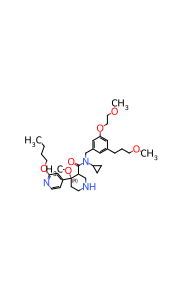 CCCCOc1cc([C@@]2(OC)CCNCC2C(=O)N(Cc2cc(CCCOC)cc(OCCOC)c2)C2CC2)ccn1